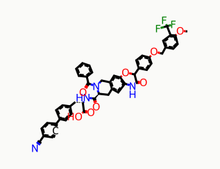 COc1ccc(COc2ccc(C3Oc4cc5c(cc4NC3=O)C[C@@H](C(=O)N[C@@H](Cc3ccc(-c4ccc(C#N)cc4)cc3)C(=O)O)N(C(=O)c3ccccc3)C5)cc2)cc1C(F)(F)F